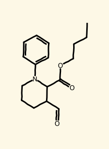 CCCCOC(=O)C1C(C=O)CCCN1c1ccccc1